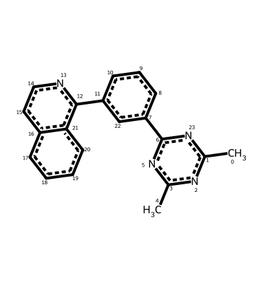 Cc1nc(C)nc(-c2cccc(-c3nccc4ccccc34)c2)n1